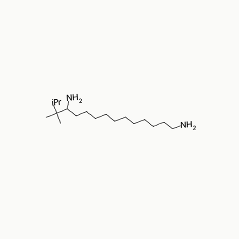 CC(C)C(C)(C)C(N)CCCCCCCCCCCN